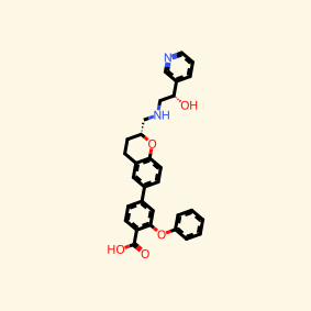 O=C(O)c1ccc(-c2ccc3c(c2)CC[C@H](CNC[C@@H](O)c2cccnc2)O3)cc1Oc1ccccc1